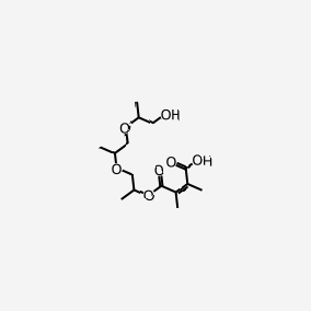 C/C(C(=O)O)=C(\C)C(=O)OC(C)COC(C)COC(C)CO